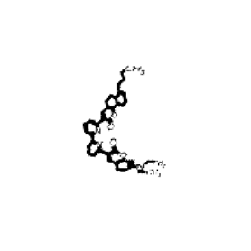 CCCCc1cccc2c1ccc1cc(-c3cccc(-c4cccc(-c5cc6ccc(N(CC)CC)cc6oc5=O)n4)n3)c(=O)oc12